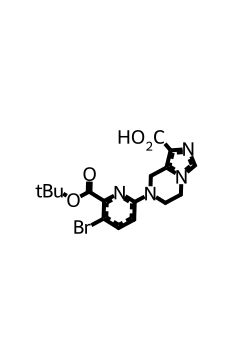 CC(C)(C)OC(=O)c1nc(N2CCn3cnc(C(=O)O)c3C2)ccc1Br